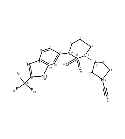 N#CN1CC[C@@H](N2CCCN(c3ccc4nc(C(F)(F)F)[nH]c4c3)S2(=O)=O)C1